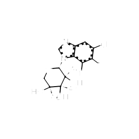 CC(=O)[C@@]1(O)[C@@](O)(C(C)=O)CO[C@@H](n2cnc3cc(Cl)c(F)c(F)c32)[C@@]1(O)C(C)=O